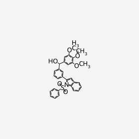 COc1cc(C(O)c2cccc(-c3cc4ccccc4n3S(=O)(=O)c3ccccc3)c2)cc(OC)c1OC